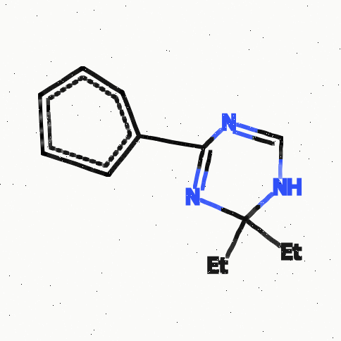 CCC1(CC)N=C(c2ccccc2)N=CN1